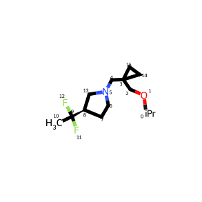 CC(C)OCC1(CN2CC[C@@H](C(C)(F)F)C2)CC1